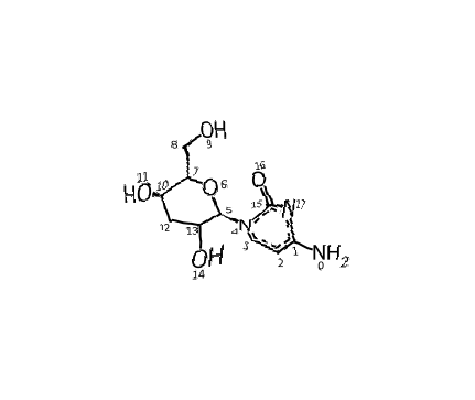 Nc1ccn([C@@H]2O[C@H](CO)[C@H](O)CC2O)c(=O)n1